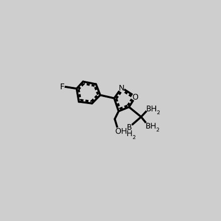 BC(B)(B)c1onc(-c2ccc(F)cc2)c1CO